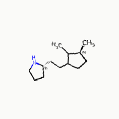 CC1C(CC[C@@H]2CCCN2)CC[C@@H]1C